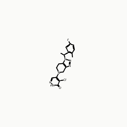 Cc1ccc(F)cc1C(C)n1nnc2c1CCN(c1cn[nH]c(=O)c1Cl)C2